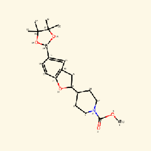 CC(C)(C)OC(=O)N1CCC(C2Cc3cc(B4OC(C)(C)C(C)(C)O4)ccc3O2)CC1